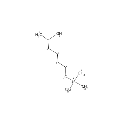 CC(O)CCCCO[Si](C)(C)C(C)(C)C